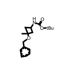 CC(C)(C)OC(=O)NC1CC(C)(OCc2ccccc2)C1